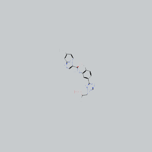 Cc1ccn2c(C(=O)Nc3cc(-c4ncn(CC(C)O)n4)ccc3C)cnc2c1